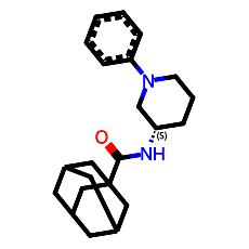 O=C(N[C@H]1CCCN(c2ccccc2)C1)C12CC3CC(CC(C3)C1)C2